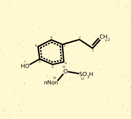 C=CCc1ccc(O)cc1.CCCCCCCCCOS(=O)(=O)O